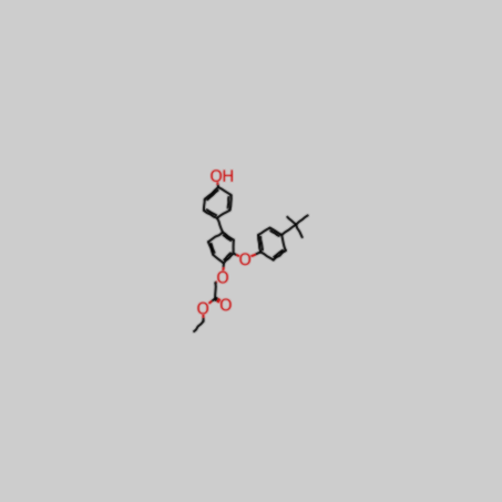 CCOC(=O)COc1ccc(-c2ccc(O)cc2)cc1Oc1ccc(C(C)(C)C)cc1